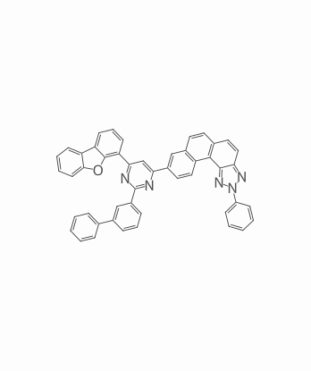 c1ccc(-c2cccc(-c3nc(-c4ccc5c(ccc6ccc7nn(-c8ccccc8)nc7c65)c4)cc(-c4cccc5c4oc4ccccc45)n3)c2)cc1